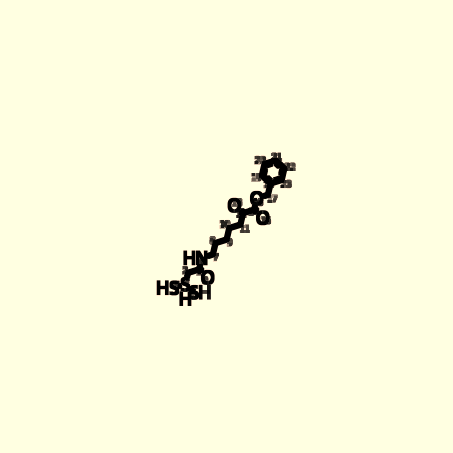 O=C(C[SH](S)S)NCCCCCC(=O)C(=O)OCc1ccccc1